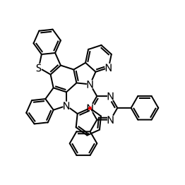 c1ccc(-c2nc(-c3ccccc3)nc(-n3c4ncccc4c4c5c6ccccc6sc5c5c6ccccc6n(-c6ccccc6)c5c43)n2)cc1